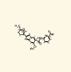 CC(C)Oc1cc2nc(C34CCC(C)(C3)OC4)cn2cc1C(=O)Nc1cccc(C(F)F)n1